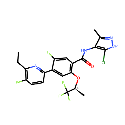 CCc1nc(-c2cc(O[C@@H](C)C(F)(F)F)c(C(=O)Nc3c(C)n[nH]c3Cl)cc2F)ccc1F